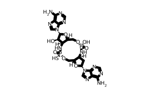 Nc1ncnc2c1ncn2[C@@H]1O[C@@H]2COP(=O)(O)N[C@H]3C[C@H](n4cnc5c(N)ncnc54)O[C@@H]3COP(=O)(S)N[C@H]2[C@H]1O